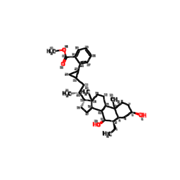 CC[C@@H]1C2C[C@H](O)CCC2(C)C2CCC3(C)C(CC[C@@H]3[C@H](C)CC3CC3c3ccccc3C(=O)OC)C2[C@@H]1O